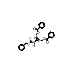 O=C(NC1[C@H](COC(=O)c2ccccc2)[C@H]1COC(=O)c1ccccc1)OCc1ccccc1